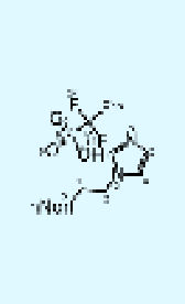 CCCCCCCCCCCn1ccnc1.O=S(=O)(O)C(F)(F)F